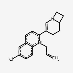 C=CC[n+]1c(C2=CN3CCC3CC2)ccc2cc(Cl)ccc21